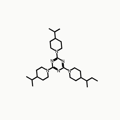 CCC(C)C1CCN(c2nc(N3CCC(C(C)C)CC3)nc(N3CCC(C(C)C)CC3)n2)CC1